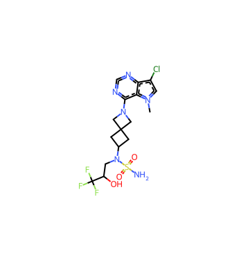 Cn1cc(Cl)c2ncnc(N3CC4(CC(N(CC(O)C(F)(F)F)S(N)(=O)=O)C4)C3)c21